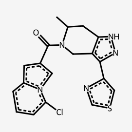 CC1Cc2[nH]nc(-c3cscn3)c2CN1C(=O)c1cc2cccc(Cl)n2c1